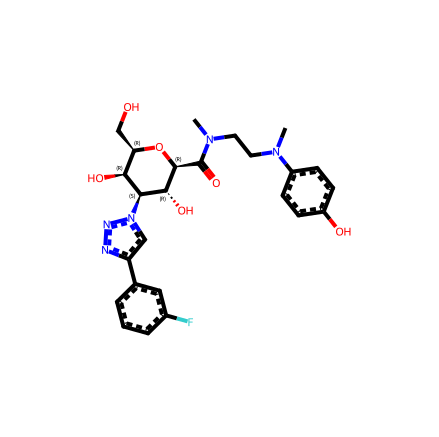 CN(CCN(C)c1ccc(O)cc1)C(=O)[C@@H]1O[C@H](CO)[C@H](O)[C@H](n2cc(-c3cccc(F)c3)nn2)[C@H]1O